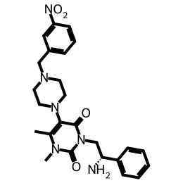 Cc1c(N2CCN(Cc3cccc([N+](=O)[O-])c3)CC2)c(=O)n(C[C@@H](N)c2ccccc2)c(=O)n1C